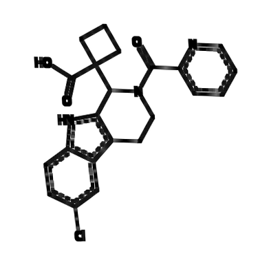 O=C(c1ccccn1)N1CCc2c([nH]c3ccc(Cl)cc23)C1C1(C(=O)O)CCC1